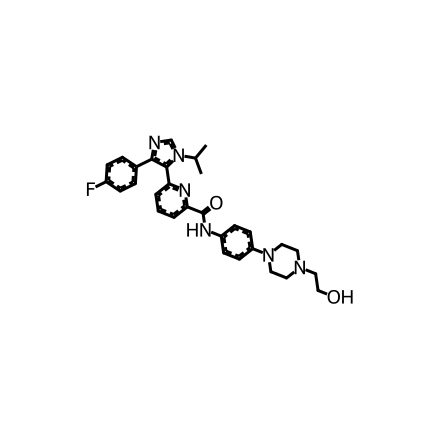 CC(C)n1cnc(-c2ccc(F)cc2)c1-c1cccc(C(=O)Nc2ccc(N3CCN(CCO)CC3)cc2)n1